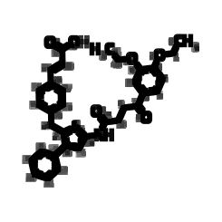 CCOc1ccc(C(=O)CCC(=O)Nc2cc(-c3ccccc3)c(Cc3ccc(C=CC(=O)O)cc3)s2)cc1OCC